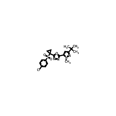 Cn1nc(C(C)(C)C)cc1-c1nnc(C2(S(=O)(=O)c3ccc(Cl)cc3)CC2)o1